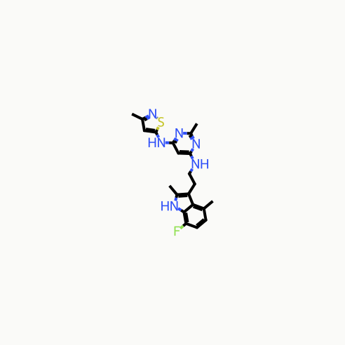 Cc1cc(Nc2cc(NCCc3c(C)[nH]c4c(F)ccc(C)c34)nc(C)n2)sn1